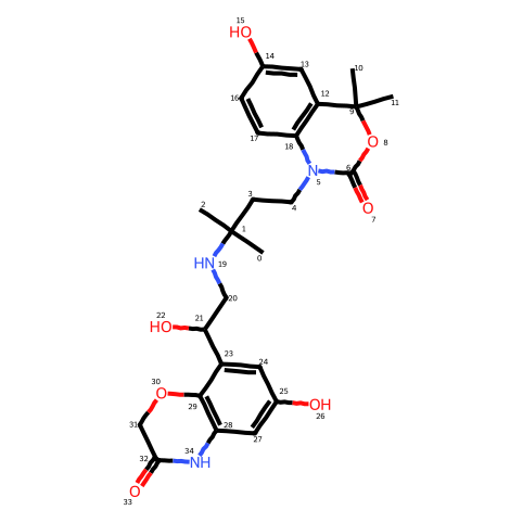 CC(C)(CCN1C(=O)OC(C)(C)c2cc(O)ccc21)NCC(O)c1cc(O)cc2c1OCC(=O)N2